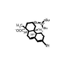 CC(C)C1=CC2=CC[C@@H]3[C@](C)(CCC[C@@]3(C)C(=O)[O-])[C@H]2CC1.CCC[CH2][Sn+]([CH2]CCC)[CH2]CCC